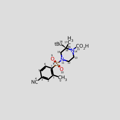 Cc1cc(C#N)ccc1S(=O)(=O)N1CCN(C(=O)O)[C@](C)(C(C)(C)C)C1